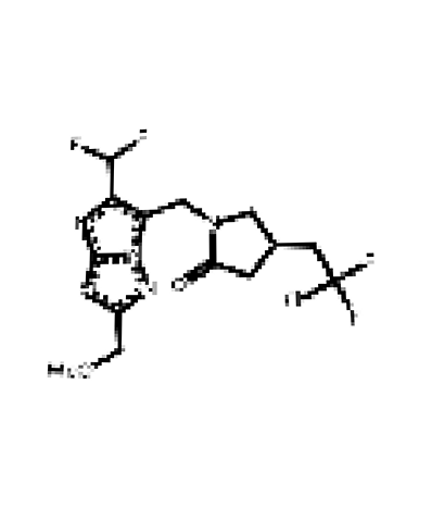 COCc1nn2c(CN3CC(CC(F)(F)Cl)CC3=O)c(C(F)F)nc2s1